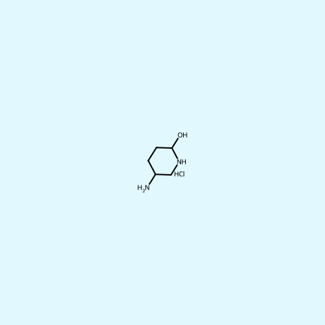 Cl.NC1CCC(O)NC1